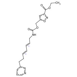 CCOC(=O)c1cc(COC(=O)NC/C=C/C=C/CCc2cccnc2)on1